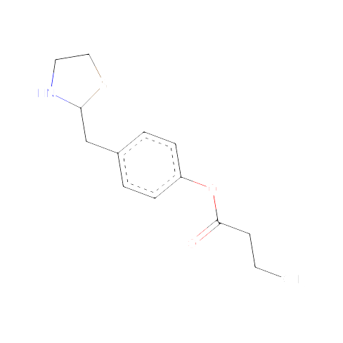 CCCC(=O)Oc1ccc(CC2NCCS2)cc1